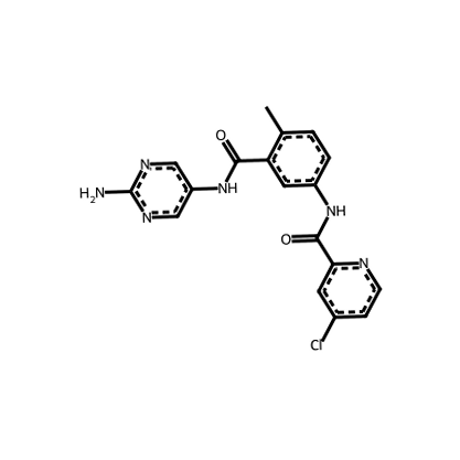 Cc1ccc(NC(=O)c2cc(Cl)ccn2)cc1C(=O)Nc1cnc(N)nc1